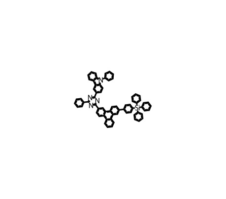 c1ccc(-c2nc(-c3ccc4c5ccccc5c5cc(-c6ccc([Si](c7ccccc7)(c7ccccc7)c7ccccc7)cc6)ccc5c4c3)nc(-c3ccc4c(c3)c3ccccc3n4-c3ccccc3)n2)cc1